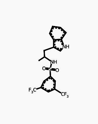 CC(Cc1c[nH]c2ccccc12)NS(=O)(=O)c1cc(C(F)(F)F)cc(C(F)(F)F)c1